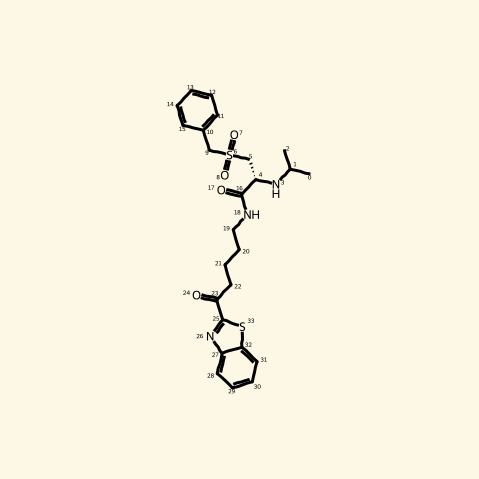 CC(C)N[C@@H](CS(=O)(=O)Cc1ccccc1)C(=O)NCCCCC(=O)c1nc2ccccc2s1